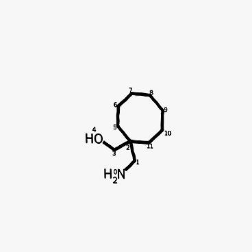 NCC1(CO)CCCCCCC1